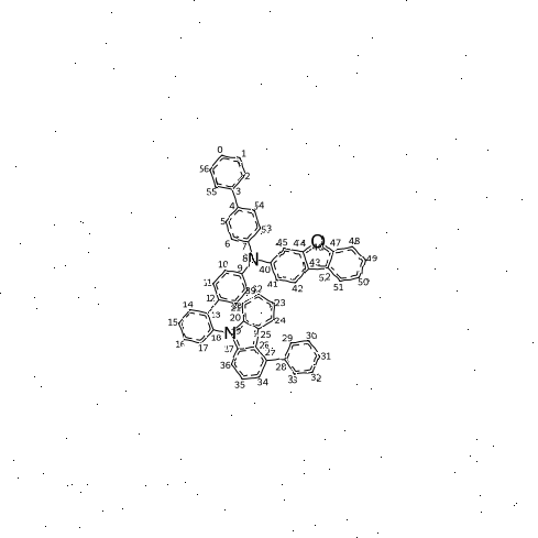 c1ccc(-c2ccc(N(c3ccc(-c4ccccc4-n4c5ccccc5c5c(-c6ccccc6)cccc54)cc3)c3ccc4c(c3)oc3ccccc34)cc2)cc1